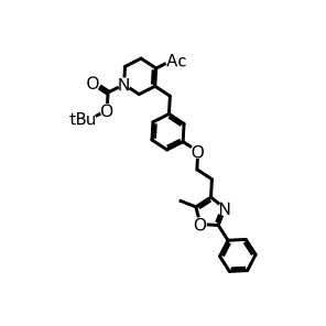 CC(=O)C1=C(Cc2cccc(OCCc3nc(-c4ccccc4)oc3C)c2)CN(C(=O)OC(C)(C)C)CC1